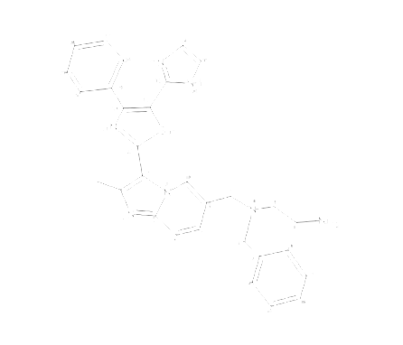 Cc1nc2ccc(CN(CCN)Cc3ccccc3)cn2c1-c1nc(-c2ccccc2)c(-c2ncc[nH]2)s1